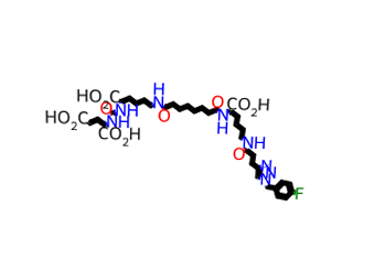 O=C(O)CC[C@H](NC(=O)N[C@@H](CCCCNC(=O)CCCCCCC(=O)NC(CCCCNC(=O)CCc1cn(Cc2ccc(F)cc2)nn1)C(=O)O)C(=O)O)C(=O)O